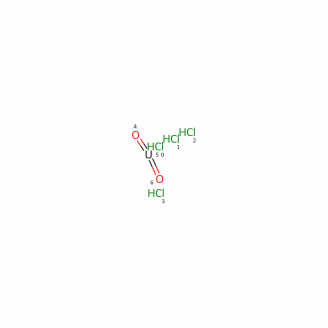 Cl.Cl.Cl.Cl.[O]=[U]=[O]